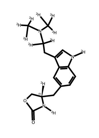 [2H]N1C(=O)OC[C@]1([2H])Cc1ccc2c(c1)c(CC([2H])([2H])N(C([2H])([2H])[2H])C([2H])([2H])[2H])cn2[2H]